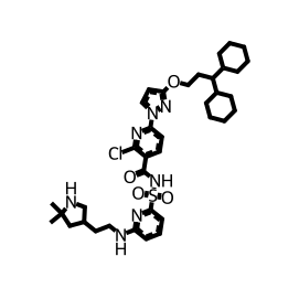 CC1(C)CC(CCNc2cccc(S(=O)(=O)NC(=O)c3ccc(-n4ccc(OCCC(C5CCCCC5)C5CCCCC5)n4)nc3Cl)n2)CN1